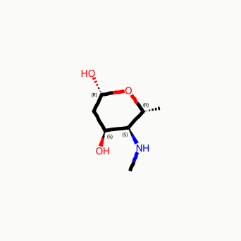 CN[C@H]1[C@@H](O)C[C@H](O)O[C@@H]1C